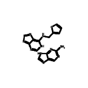 Nc1ncc2nc[nH]c2n1.c1coc(CNc2[nH]cnc3ncnc2-3)c1